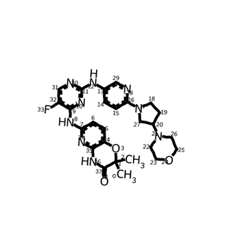 CC1(C)Oc2ccc(Nc3nc(Nc4ccc(N5CCC(N6CCOCC6)C5)nc4)ncc3F)nc2NC1=O